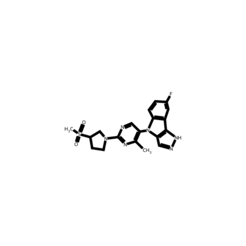 Cc1nc(N2CCC(S(C)(=O)=O)C2)ncc1-n1c2ccc(F)cc2c2[nH]ncc21